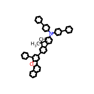 CC1(C)c2cc(-c3cc(-c4ccccc4)c4oc5c6ccccc6ccc5c4c3)ccc2-c2ccc(N(c3ccc(-c4ccccc4)cc3)c3ccc(-c4ccccc4)cc3)cc21